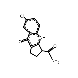 NC(=O)C1CCc2c1[nH]c1ccc(Cl)cc1c2=O